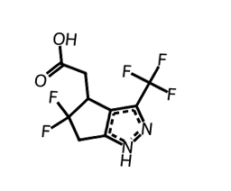 O=C(O)CC1c2c(C(F)(F)F)n[nH]c2CC1(F)F